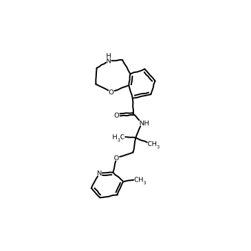 Cc1cccnc1OCC(C)(C)NC(=O)c1cccc2c1OCCNC2